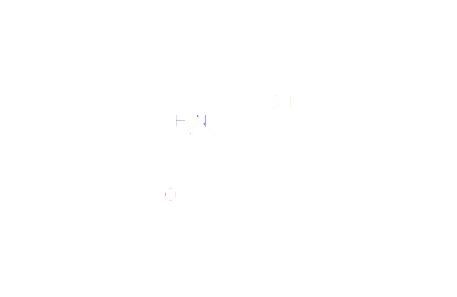 N[C@@H]([C]=O)CS